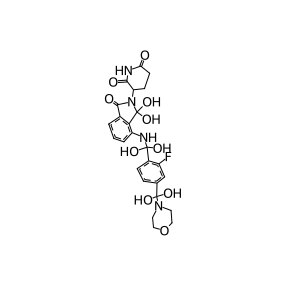 O=C1CCC(N2C(=O)c3cccc(NC(O)(O)c4ccc(C(O)(O)N5CCOCC5)cc4F)c3C2(O)O)C(=O)N1